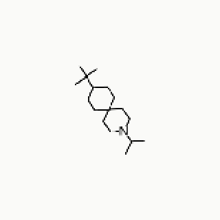 CC(C)N1CCC2(CCC(C(C)(C)C)CC2)CC1